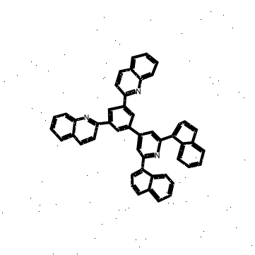 c1ccc2nc(-c3cc(-c4cc(-c5cccc6ccccc56)nc(-c5cccc6ccccc56)c4)cc(-c4ccc5ccccc5n4)c3)ccc2c1